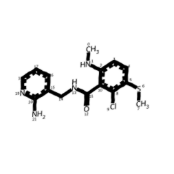 CNc1ccc(SC)c(Cl)c1C(=O)NCc1cccnc1N